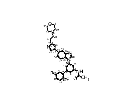 CC(=O)Nc1cc(-c2cc(F)ccc2F)cc(-n2cnc3cc(-c4cnn(CCN5CCOCC5)c4)ccc32)c1